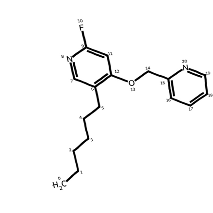 [CH2]CCCCCc1cnc(F)cc1OCc1ccccn1